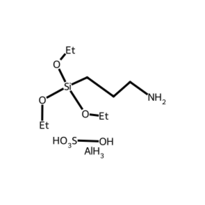 CCO[Si](CCCN)(OCC)OCC.O=S(=O)(O)O.[AlH3]